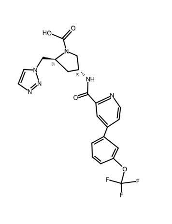 O=C(N[C@@H]1C[C@@H](Cn2ccnn2)N(C(=O)O)C1)c1cc(-c2cccc(OC(F)(F)F)c2)ccn1